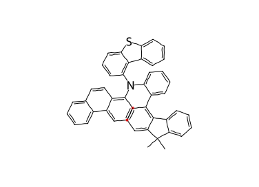 CC1(C)c2ccccc2-c2c(-c3ccccc3N(c3cccc4c3ccc3ccccc34)c3cccc4sc5ccccc5c34)cccc21